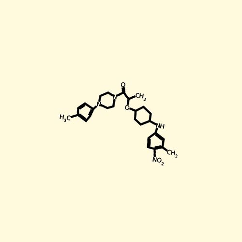 Cc1ccc(N2CCN(C(=O)C(C)OC3CCC(Nc4ccc([N+](=O)[O-])c(C)c4)CC3)CC2)cc1